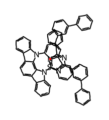 C1=CC2Sc3c(cc(-c4cccc(-c5ccccc5)c4)cc3-n3c4ccccc4c4ccc5c6ccccc6n(-c6nc(-c7ccccc7)nc(-c7cccc(-c8ccccc8)c7)n6)c5c43)C2C=C1